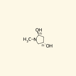 CN1C[C@@H](O)C[C@@H]1O